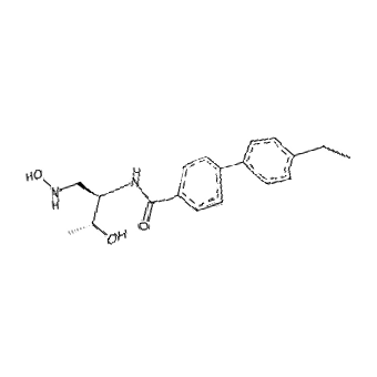 CCc1ccc(-c2ccc(C(=O)N[C@H](CNO)[C@@H](C)O)cc2)cc1